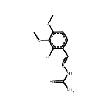 COc1c(SC)ccc(/C=N/NC(=N)N)c1Cl